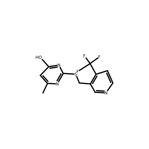 Cc1cc(O)nc(SCc2cnccc2C(F)(F)F)n1